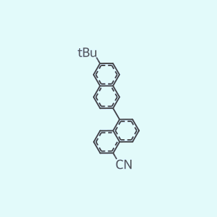 CC(C)(C)c1ccc2cc(-c3cccc4c(C#N)cccc34)ccc2c1